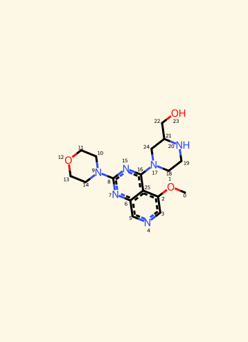 COc1cncc2nc(N3CCOCC3)nc(N3CCNC(CO)C3)c12